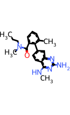 CCCN(C)C(=O)c1cccc(C)c1-c1ccc2c(NC)nc(N)nc2c1